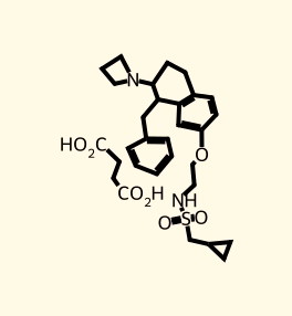 O=C(O)CCC(=O)O.O=S(=O)(CC1CC1)NCCOc1ccc2c(c1)C(Cc1ccccc1)C(N1CCC1)CC2